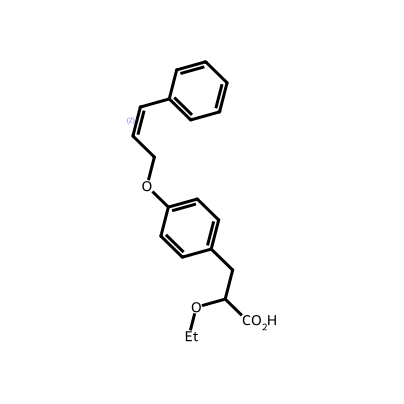 CCOC(Cc1ccc(OC/C=C\c2ccccc2)cc1)C(=O)O